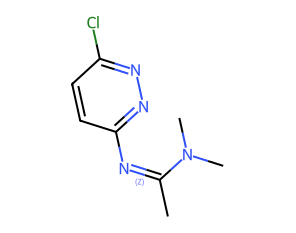 C/C(=N/c1ccc(Cl)nn1)N(C)C